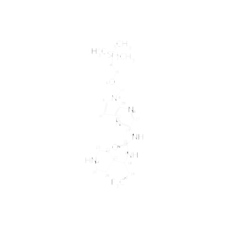 C[Si](C)(C)CCOCn1ccc2nc(NC(=O)NC(CC(F)(F)F)C3CCNCC3)cnc21